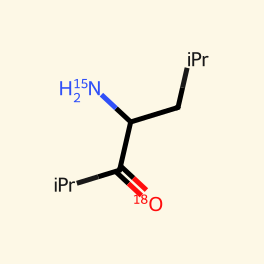 CC(C)CC([15NH2])C(=[18O])C(C)C